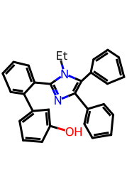 CCn1c(-c2ccccc2-c2cccc(O)c2)nc(-c2ccccc2)c1-c1ccccc1